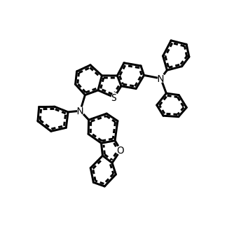 c1ccc(N(c2ccccc2)c2ccc3c(c2)sc2c(N(c4ccccc4)c4ccc5oc6ccccc6c5c4)cccc23)cc1